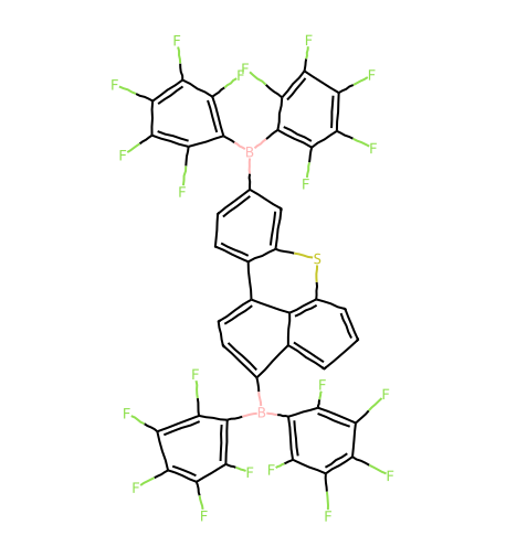 Fc1c(F)c(F)c(B(c2ccc3c(c2)Sc2cccc4c(B(c5c(F)c(F)c(F)c(F)c5F)c5c(F)c(F)c(F)c(F)c5F)ccc-3c24)c2c(F)c(F)c(F)c(F)c2F)c(F)c1F